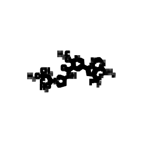 COc1ncc(-c2cc(C(F)(F)F)c3c(N)ncnn23)cc1C(=O)N[C@H]1CCN(C(=O)CC(C)(C)C)C1